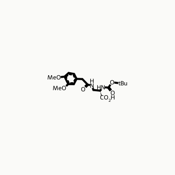 COc1ccc(CC(=O)NC[C@H](NC(=O)OC(C)(C)C)C(=O)O)cc1OC